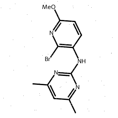 COc1ccc(Nc2nc(C)cc(C)n2)c(Br)n1